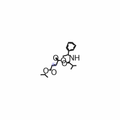 CC(C)OC(=O)/C=C/C(=O)OCC(NC(=O)C(C)C)c1ccccc1